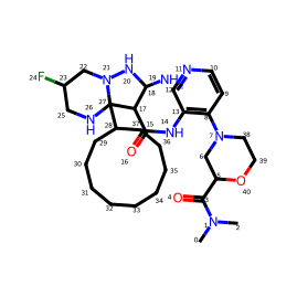 CN(C)C(=O)C1CN(c2ccncc2NC(=O)C2C(N)NN3CC(F)CNC23C2CCCCCCCCC2)CCO1